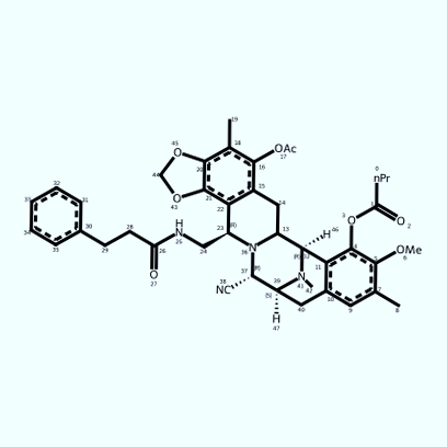 CCCC(=O)Oc1c(OC)c(C)cc2c1[C@@H]1C3Cc4c(OC(C)=O)c(C)c5c(c4[C@H](CNC(=O)CCc4ccccc4)N3[C@@H](C#N)[C@H](C2)N1C)OCO5